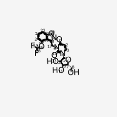 O=c1ccn([C@@H]2O[C@H](CO)[C@H](O)C2O)c(=O)n1Cc1noc2cccc(OC(F)F)c12